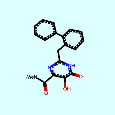 CNC(=O)c1nc(Cc2ccccc2-c2ccccc2)[nH]c(=O)c1O